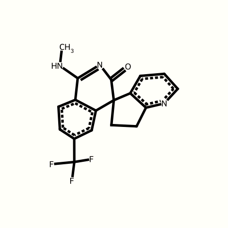 CNC1=NC(=O)C2(CCc3ncccc32)c2cc(C(F)(F)F)ccc21